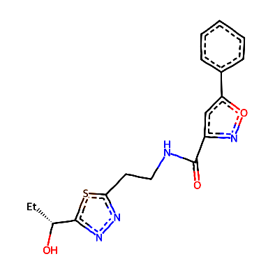 CC[C@@H](O)c1nnc(CCNC(=O)c2cc(-c3ccccc3)on2)s1